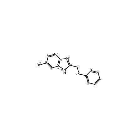 Brc1cnc2nc(CSc3ccccc3)[nH]c2c1